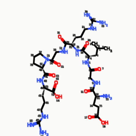 CC(C)C[C@H](NC(=O)CNC(=O)[C@@H](N)CCC(=O)O)C(=O)N[C@@H](CCCNC(=N)N)C(=O)NCC(=O)N1CCC[C@H]1C(=O)N[C@@H](CCCNC(=N)N)C(=O)O